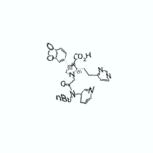 CCCCN(C(=O)CN1C[C@H](c2ccc3c(c2)OCO3)[C@@H](C(=O)O)[C@@H]1CCc1ccncn1)c1cccnc1